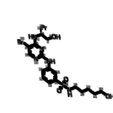 CC(C)[C@H](CO)Nc1nc(Nc2cccc(S(=O)(=O)NCCCCCO)c2)ncc1Br